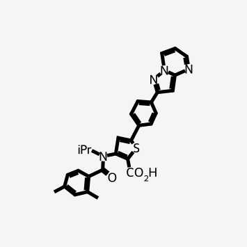 Cc1ccc(C(=O)N(c2cc(-c3ccc(-c4cc5ncccn5n4)cc3)sc2C(=O)O)C(C)C)c(C)c1